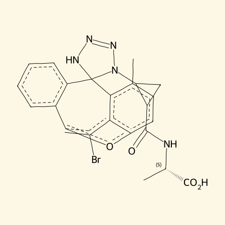 Cc1ccc2oc3c(Br)c2c1C1(NN=NN1C1CC1C(=O)N[C@@H](C)C(=O)O)c1ccccc1-3